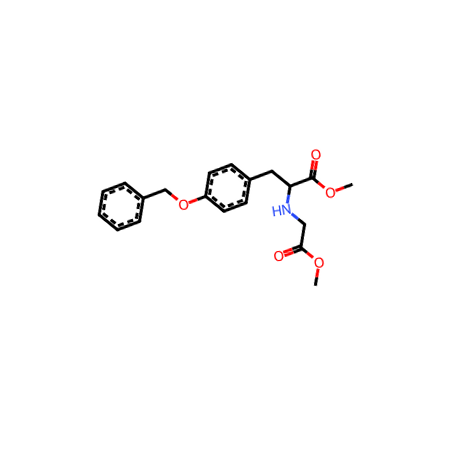 COC(=O)CNC(Cc1ccc(OCc2ccccc2)cc1)C(=O)OC